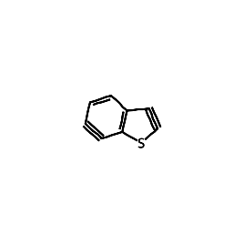 c1ccc2c#csc2c#1